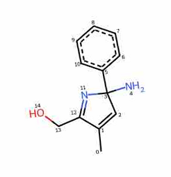 CC1=CC(N)(c2ccccc2)N=C1CO